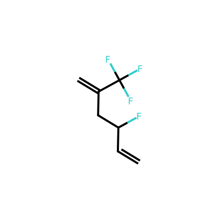 C=CC(F)CC(=C)C(F)(F)F